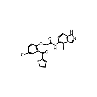 Cc1c(NC(=O)COc2ccc(Cl)cc2C(=O)c2cccs2)ccc2[nH]ncc12